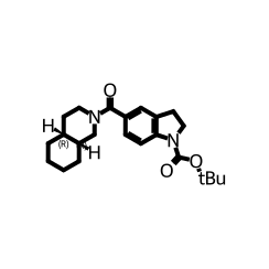 CC(C)(C)OC(=O)N1CCc2cc(C(=O)N3CC[C@H]4CCCC[C@H]4C3)ccc21